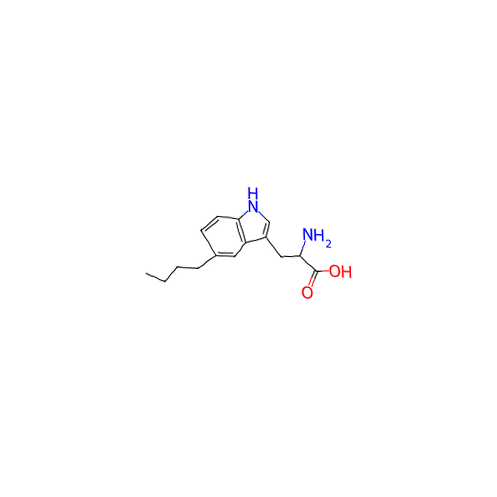 CCCCc1ccc2[nH]cc(CC(N)C(=O)O)c2c1